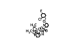 CC1CN(c2ncccc2C(=O)NS(=O)(=O)c2cccc(OCc3ccc(F)cc3Cl)n2)C(C)(C)C1